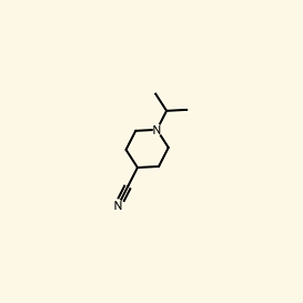 CC(C)N1CCC(C#N)CC1